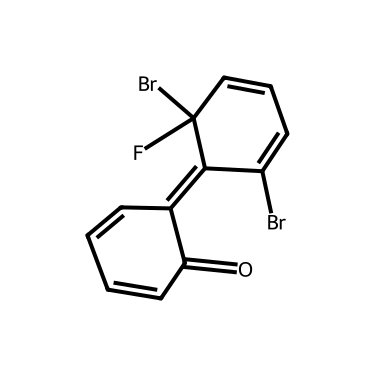 O=C1C=CC=CC1=C1C(Br)=CC=CC1(F)Br